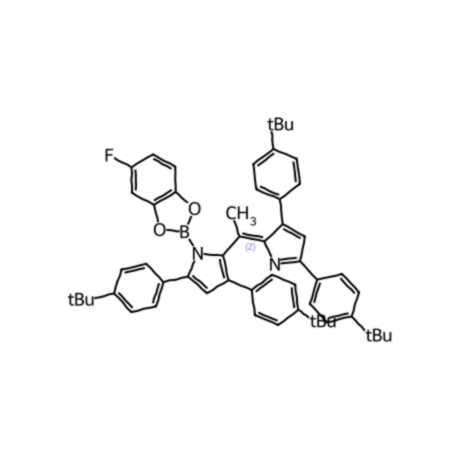 C/C(=C1/N=C(c2ccc(C(C)(C)C)cc2)C=C1c1ccc(C(C)(C)C)cc1)c1c(-c2ccc(C(C)(C)C)cc2)cc(-c2ccc(C(C)(C)C)cc2)n1B1Oc2ccc(F)cc2O1